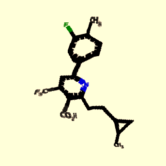 Cc1ccc(-c2cc(C(F)(F)F)c(C(=O)O)c(CCC3CC3C)n2)cc1F